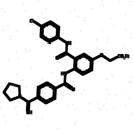 CCOC(=O)COc1ccc(NC(=O)c2ccc(C(=N)N3CCCC3)cc2)c(C(=O)Nc2ccc(Cl)cn2)c1